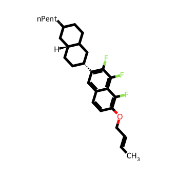 C/C=C/COc1ccc2cc([C@@H]3CC[C@@H]4CC(CCCCC)CCC4C3)c(F)c(F)c2c1F